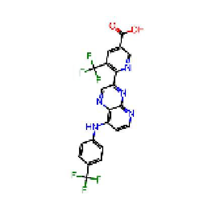 O=C(O)c1cnc(-c2cnc3c(Nc4ccc(C(F)(F)F)cc4)ccnc3n2)c(C(F)(F)F)c1